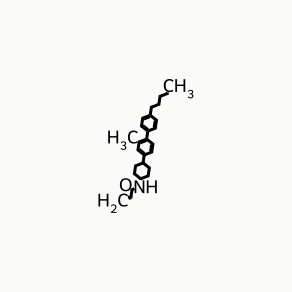 C=CC(=O)NC1CCC(c2ccc(-c3ccc(CCCCC)cc3)c(C)c2)CC1